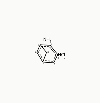 Cl.N.c1cc2cc(c1)C2